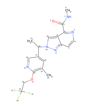 CNC(=O)c1nccc2nn(C(C)c3cnc(OCC(F)(F)F)c(C)c3)cc12